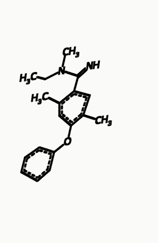 CCN(C)C(=N)c1cc(C)c(Oc2ccccc2)cc1C